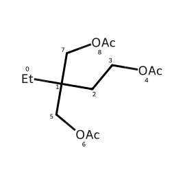 [CH2]CC(CCOC(C)=O)(COC(C)=O)COC(C)=O